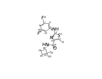 Cc1sc(Nc2cc(F)cc(F)c2)nc1C(=O)N[C@H]1CCC1(C)C